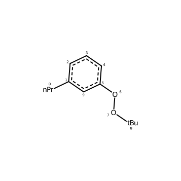 CCCc1cccc(OOC(C)(C)C)c1